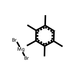 Cc1[c]c(C)c(C)c(C)c1C.[Br][Mg][Br]